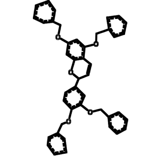 C1=CC(c2ccc(OCc3ccccc3)c(OCc3ccccc3)c2)Oc2cc(OCc3ccccc3)cc(OCc3ccccc3)c21